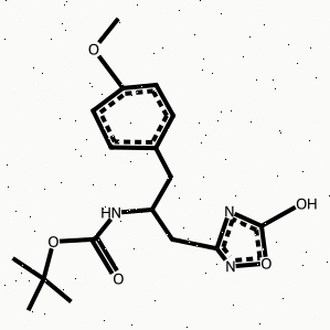 COc1ccc(CC(Cc2noc(O)n2)NC(=O)OC(C)(C)C)cc1